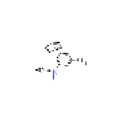 C#CNc1cccc(C(F)(F)F)c1.c1cc2ccc1-2